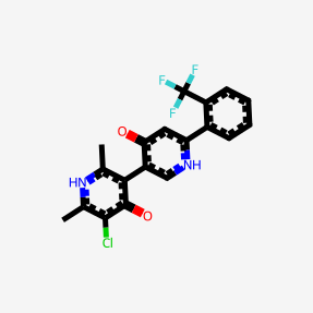 Cc1[nH]c(C)c(-c2c[nH]c(-c3ccccc3C(F)(F)F)cc2=O)c(=O)c1Cl